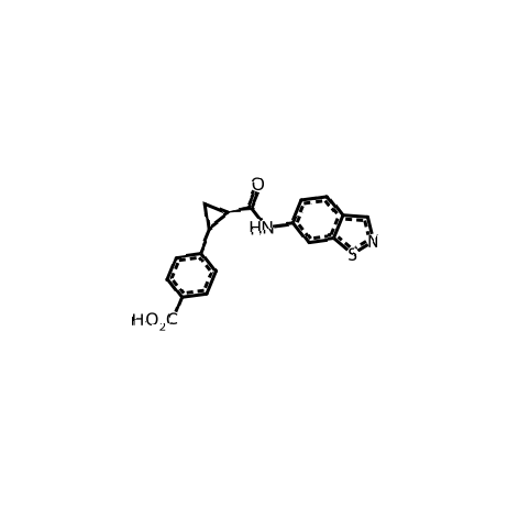 O=C(O)c1ccc(C2C[C@H]2C(=O)Nc2ccc3cnsc3c2)cc1